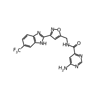 Nc1cc(C(=O)NCc2cc(-c3nc4ccc(C(F)(F)F)cc4[nH]3)no2)ncn1